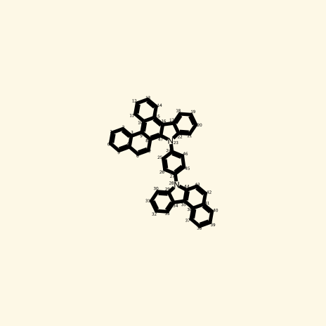 c1ccc2c(c1)ccc1c2c2ccccc2c2c3ccccc3n(-c3ccc(-n4c5ccccc5c5c6ccccc6ccc54)cc3)c12